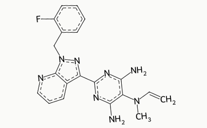 C=CN(C)c1c(N)nc(-c2nn(Cc3ccccc3F)c3ncccc23)nc1N